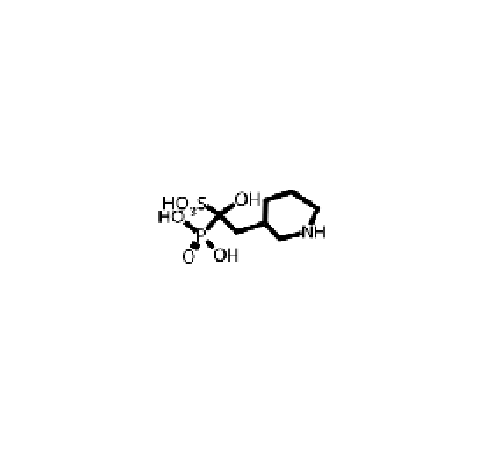 O=P(O)(O)C(O)(CC1CCCNC1)S(=O)(=O)O